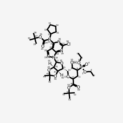 CCOP(=O)(OCC)C(CO)CC(OC[C@H]1OC(n2ncc3c(N(C(=O)OC(C)(C)C)C4CCCC4)nc(Cl)nc32)[C@@H]2OC(C)(C)O[C@H]12)C(=O)OC(C)(C)C